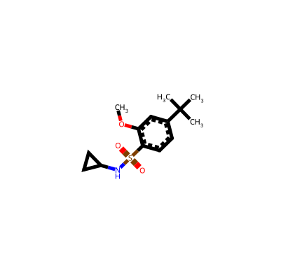 COc1cc(C(C)(C)C)ccc1S(=O)(=O)NC1CC1